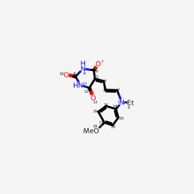 CCN(/C=C/C=C1C(=O)NC(=O)NC1=O)c1ccc(OC)cc1